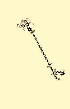 CCCCNC(=O)[C@H](CCCCNC(=O)COCCOCCOCCOCCOCCOCCOCCOCCOC(=O)Nc1ccc(C[C@@H](C[C@H](C)C(=O)OC(C)(C)C)NC(=O)OC(C)(C)C)cc1)NC(=O)CCCN1C(=O)C=CC1=O